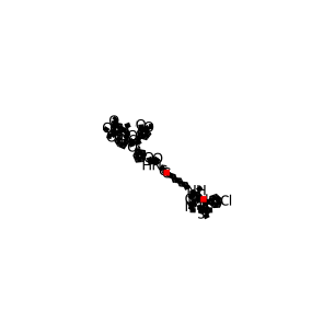 CC[C@H](C(=O)N1CCCC[C@H]1C(=O)O[C@H](CCc1ccc(OC)c(OC)c1)c1cccc(OCC(=O)NCCCCCCCCCCNC(=O)[C@H](CC)[C@@H]2N=C(c3ccc(Cl)cc3)c3c(sc(C)c3C)-n3c(C)nnc32)c1)c1cc(OC)c(OC)c(OC)c1